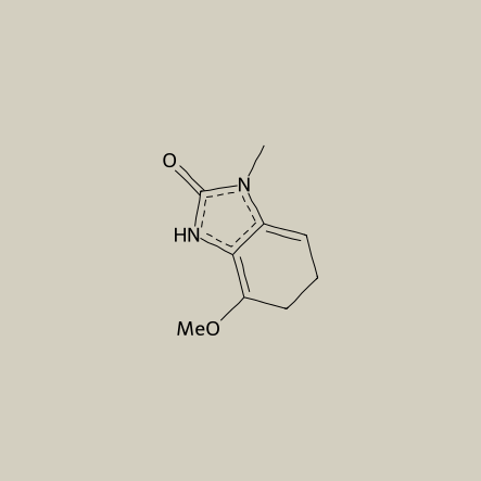 COC1=c2[nH]c(=O)n(C)c2=CCC1